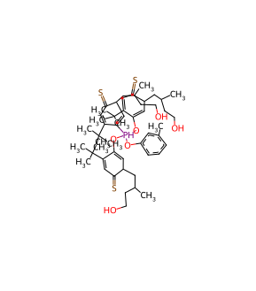 Cc1cccc(O[PH](OC2=CC(CC(C)CCO)C(=S)C=C2C(C)(C)C)(OC2=CC(CC(C)CCO)C(=S)C=C2C(C)(C)C)C2=CC(CC(C)CCO)C(=S)C=C2C(C)(C)C)c1